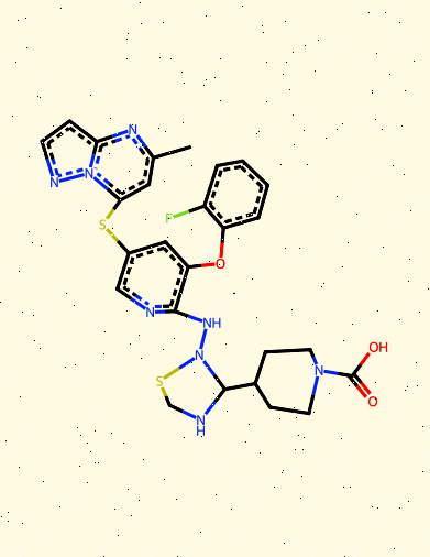 Cc1cc(Sc2cnc(NN3SCNC3C3CCN(C(=O)O)CC3)c(Oc3ccccc3F)c2)n2nccc2n1